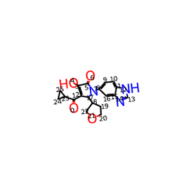 O=C(C1=C(O)C(=O)N(c2ccc3[nH]cnc3c2)C1C1CCOC1)C1CC1